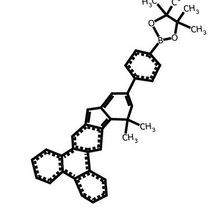 CC1(C)C=C(c2ccc(B3OC(C)(C)C(C)(C)O3)cc2)C=C2C=c3cc4c5ccccc5c5ccccc5c4cc3=C21